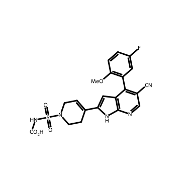 COc1ccc(F)cc1-c1c(C#N)cnc2[nH]c(C3=CCN(S(=O)(=O)NC(=O)O)CC3)cc12